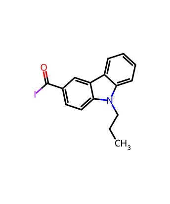 CCCn1c2ccccc2c2cc(C(=O)I)ccc21